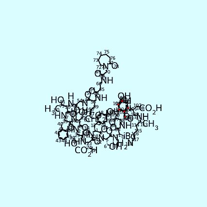 CC[C@H](C)[C@H](NC(=O)[C@H](CO)NC(=O)[C@H](Cc1ccc(O)cc1)NC(=O)[C@H](CC(=O)O)NC(=O)[C@H](CO)NC(=O)[C@@H](NC(=O)[C@H](Cc1ccccc1)NC(=O)[C@@H](NC(=O)CNC(=O)[C@H](CCC(=O)O)NC(=O)CCNC(=O)CN1CCCCCC1=O)[C@@H](C)O)[C@@H](C)O)C(=O)N[C@@H](Cc1ccc(O)cc1)C(=O)N[C@@H](CC(C)C)C(=O)N[C@@H](CC(=O)O)C(=O)N[C@H](C)CCCCN